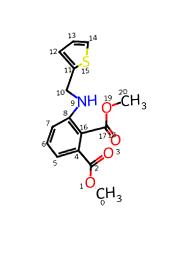 COC(=O)c1cccc(NCc2cccs2)c1C(=O)OC